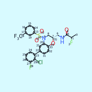 CC(F)C(=O)NC[C@H]1CN(S(=O)(=O)c2cccc(C(F)(F)F)c2)c2cc(-c3cccc(F)c3Cl)ccc2O1